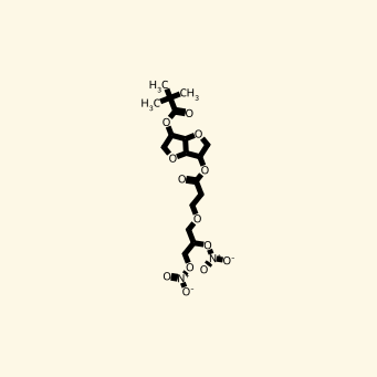 CC(C)(C)C(=O)OC1COC2C(OC(=O)CCOCC(CO[N+](=O)[O-])O[N+](=O)[O-])COC12